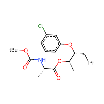 CC(C)C[C@@H](Oc1cccc(Cl)c1)[C@H](C)OC(=O)[C@H](C)NC(=O)OC(C)(C)C